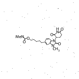 CNC(=O)OCCCCCc1ccc2c(c1)n(C)c(=O)n2C1CCC(=O)NC1=O